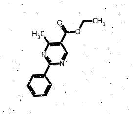 CCOC(=O)c1cnc(-c2ccccc2)nc1C